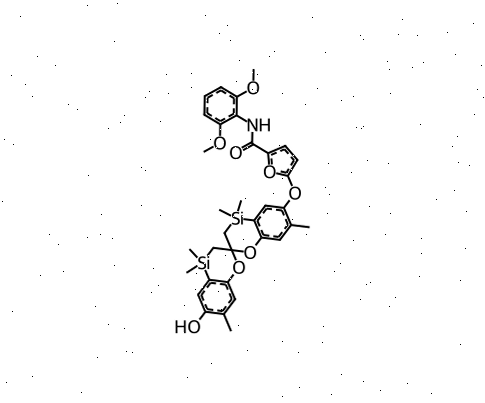 COc1cccc(OC)c1NC(=O)c1ccc(Oc2cc3c(cc2C)OC2(C[Si](C)(C)c4cc(O)c(C)cc4O2)C[Si]3(C)C)o1